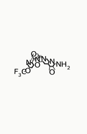 C[C@@H]1COC[C@H](c2ccc(OC(F)(F)F)cn2)N1C(=O)c1cc2c3c(c(N)nc2cn1)COC3